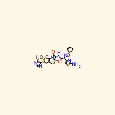 Nc1nc(C(=NOC2C=CCC2)C(=O)NC2C(=O)N3C(C(=O)O)=C(CSc4ncns4)CS[C@@H]23)cs1